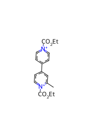 CCOC(=O)[n+]1ccc(-c2cc[n+](C(=O)OCC)c(C)c2)cc1